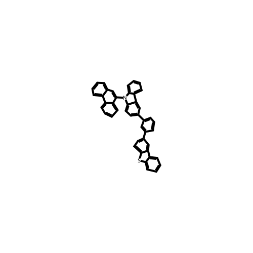 c1cc(-c2ccc3sc4ccccc4c3c2)cc(-c2ccc3c(c2)c2ccccc2n3-c2cc3ccccc3c3ccccc23)c1